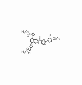 C=CC(=O)N1CC[C@@H]1c1ccc(N2CC(CS(C)(=O)=O)C2)c2cnc(Nc3ccnc(N4CC[C@@H](OC)[C@@H](F)C4)n3)cc12